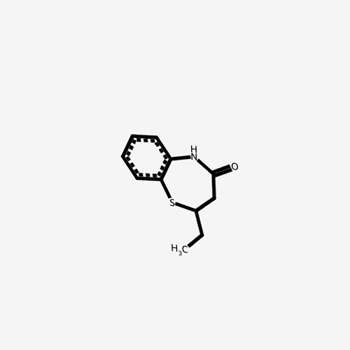 CCC1CC(=O)Nc2ccccc2S1